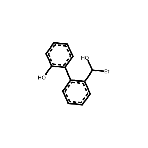 CCC(O)c1ccc[c]c1-c1ccccc1O